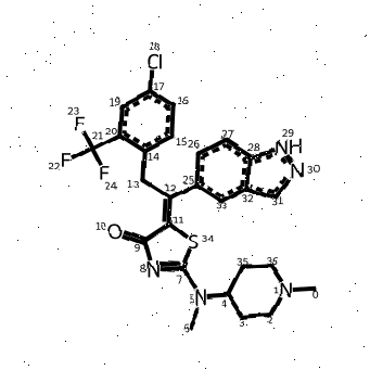 CN1CCC(N(C)C2=NC(=O)C(=C(Cc3ccc(Cl)cc3C(F)(F)F)c3ccc4[nH]ncc4c3)S2)CC1